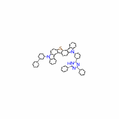 c1ccc(C2=NC(c3cccc(-n4c5ccccc5c5c6sc7ccc8c(c9ccccc9n8-c8cccc(-c9ccccc9)c8)c7c6ccc54)c3)NC(c3ccccc3)=N2)cc1